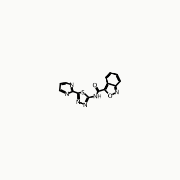 O=C(Nc1nnc(-c2ncccn2)s1)c1onc2ccccc12